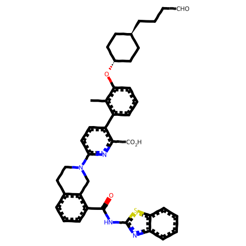 Cc1c(O[C@H]2CC[C@H](CCCC=O)CC2)cccc1-c1ccc(N2CCc3cccc(C(=O)Nc4nc5ccccc5s4)c3C2)nc1C(=O)O